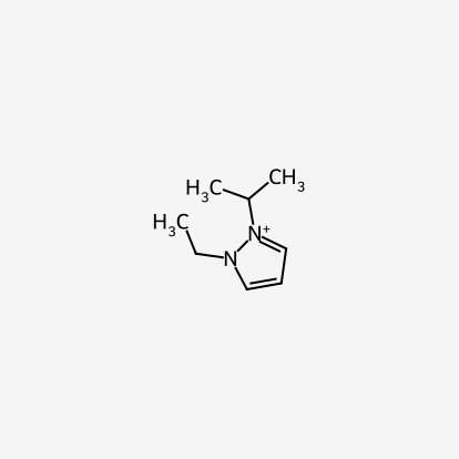 CCn1ccc[n+]1C(C)C